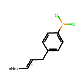 CCCCCC/C=C/Cc1ccc(P(Cl)Cl)cc1